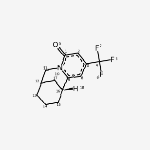 O=c1cc(C(F)(F)F)cc2n1CC1CCC[C@@H]2C1